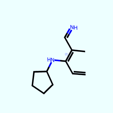 C=C/C(NC1CCCC1)=C(\C)C=N